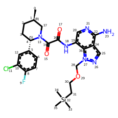 C[C@@H]1CC[C@@H](c2ccc(F)c(Cl)c2)N(C(=O)C(=O)Nc2cnc(N)c3cnn(COCC[Si](C)(C)C)c23)C1